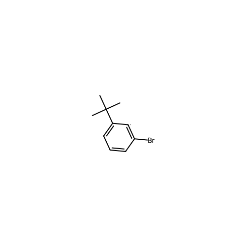 CC(C)(C)c1[c]c(Br)ccc1